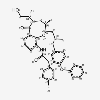 C[C@@H]1CN([C@@H](C)CO)C(=O)c2cccc(NC(=O)Cc3ccc(F)cc3)c2O[C@@H]1CN(C)Cc1ccc(Oc2ccccc2)cc1